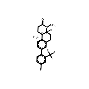 CN1C(=O)CC[C@]2(C)c3ccc(-c4ccc(F)cc4C(F)(F)F)cc3CC[C@@H]12